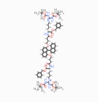 CC(C)(C)OC(=O)NC(=NCCCC[C@@H](NC(=O)CCCOc1ccc2ccccc2c1-c1c(OCCCC(=O)N[C@H](CCCCN=C(NC(=O)OC(C)(C)C)NC(=O)OC(C)(C)C)C(=O)OCc2ccccc2)ccc2ccccc12)C(=O)OCc1ccccc1)NC(=O)OC(C)(C)C